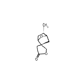 C[C@H]1CC2OC1C[C@]21COC(=O)C1